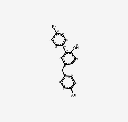 Oc1ccc(Cc2ccc(O)c(-c3ccc(F)cc3)c2)cc1